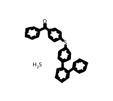 O=C(c1ccccc1)c1ccc(Sc2ccc(-c3ccccc3-c3ccccc3)cc2)cc1.S